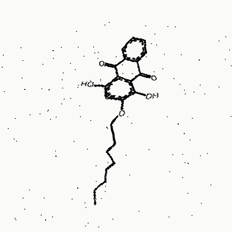 CCCCCCCCOc1cc(O)c2c(c1O)C(=O)c1ccccc1C2=O